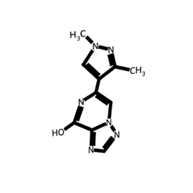 Cc1nn(C)cc1-c1cn2ncnc2c(O)n1